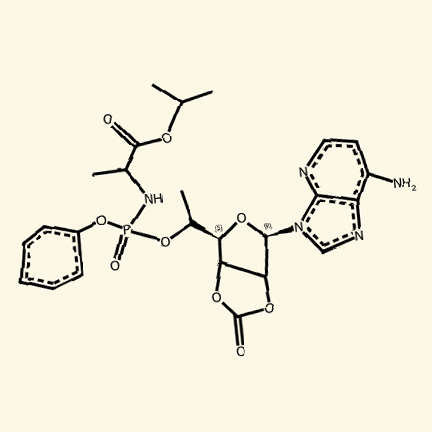 CC(C)OC(=O)C(C)NP(=O)(Oc1ccccc1)OC(C)[C@H]1O[C@@H](n2cnc3c(N)ccnc32)C2OC(=O)OC21